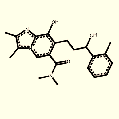 Cc1ccccc1C(O)CCc1c(C(=O)N(C)C)cn2c(C)c(C)nc2c1O